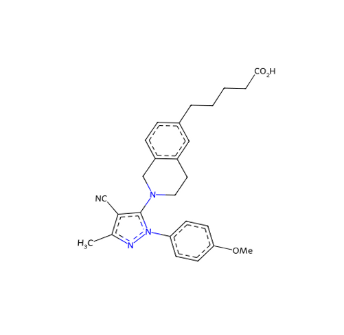 COc1ccc(-n2nc(C)c(C#N)c2N2CCc3cc(CCCCC(=O)O)ccc3C2)cc1